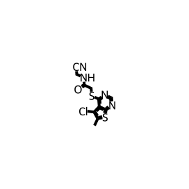 Cc1sc2ncnc(SCC(=O)NCC#N)c2c1Cl